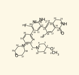 COC1CCN(Cc2cc(-c3cc(-c4cc5c(cc4F)C(=O)NCC5)c(N)nc3F)ccc2N2CCOCC2)CC1